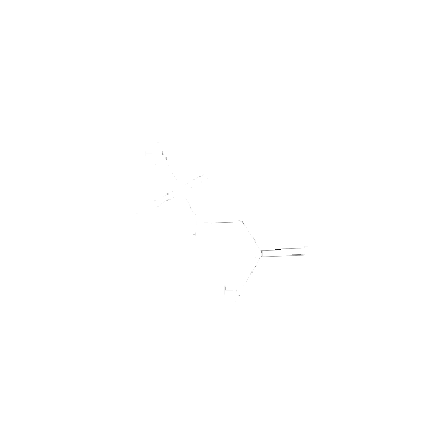 C=C(O)COS(N)(=O)=O